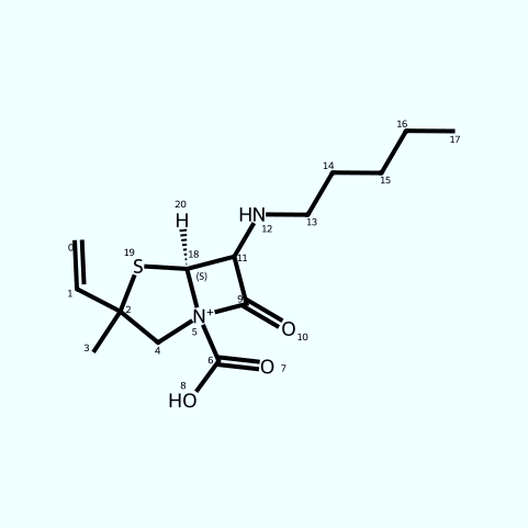 C=CC1(C)C[N+]2(C(=O)O)C(=O)C(NCCCCC)[C@@H]2S1